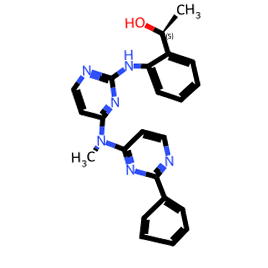 C[C@H](O)c1ccccc1Nc1nccc(N(C)c2ccnc(-c3ccccc3)n2)n1